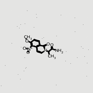 COc1ccc2c(=O)n(C(C)C(N)=O)ccc2c1[N+](=O)[O-]